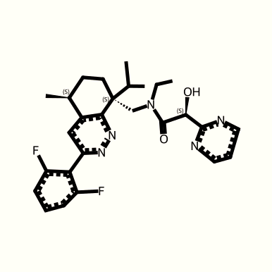 CCN(C[C@@]1(C(C)C)CC[C@H](C)c2cc(-c3c(F)cccc3F)nnc21)C(=O)[C@@H](O)c1ncccn1